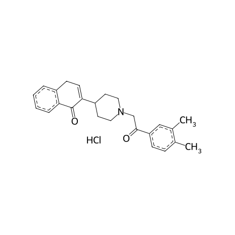 Cc1ccc(C(=O)CN2CCC(C3=CCc4ccccc4C3=O)CC2)cc1C.Cl